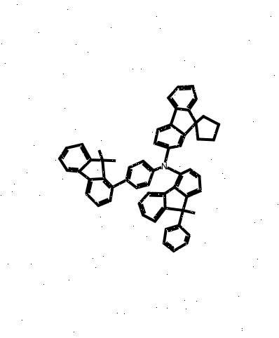 CC1(C)c2ccccc2-c2cccc(-c3ccc(N(c4ccc5c(c4)C4(CCCC4)c4ccccc4-5)c4cccc5c4-c4ccccc4C5(C)c4ccccc4)cc3)c21